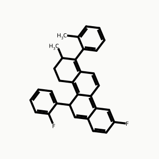 Cc1ccccc1C1=c2ccc3c(c2CCC1C)C(c1ccccc1F)C=c1ccc(F)cc1=3